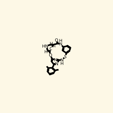 Cc1cccc(C)c1-c1cc2nc(n1)NSc1cccc(c1)NC(=O)[C@H]1CNC[C@@H](C1)O2